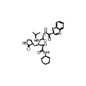 CC(C)C[C@H](NC(=O)c1cnc2ccccc2n1)C(=O)NC(C[C@@H]1CCNC1=O)C(=O)C(=O)NC1CCCCC1